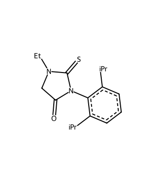 CCN1CC(=O)N(c2c(C(C)C)cccc2C(C)C)C1=S